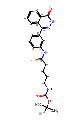 CC(C)(C)OC(=O)NCCCCC(=O)Nc1cccc(-c2n[nH]c(=O)c3ccccc23)c1